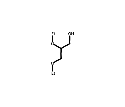 CCOCC([CH]O)OCC